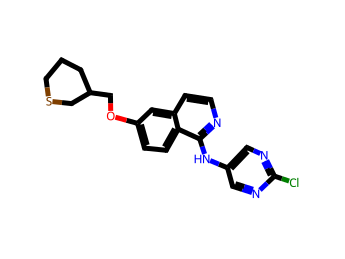 Clc1ncc(Nc2nccc3cc(OCC4CCCSC4)ccc23)cn1